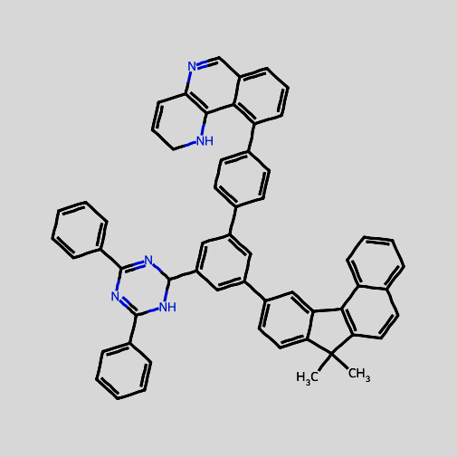 CC1(C)c2ccc(-c3cc(-c4ccc(-c5cccc6cnc7c(c56)NCC=C7)cc4)cc(C4N=C(c5ccccc5)N=C(c5ccccc5)N4)c3)cc2-c2c1ccc1ccccc21